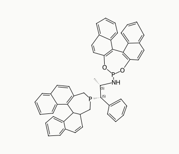 C[C@H](Np1oc2ccc3ccccc3c2c2c(ccc3ccccc32)o1)[C@H](c1ccccc1)P1Cc2ccc3ccccc3c2C2c3ccccc3C=CC2C1